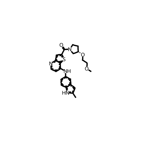 COCCO[C@H]1CCN(C(=O)c2cc3nccc(Nc4ccc5[nH]c(C)cc5c4)c3s2)C1